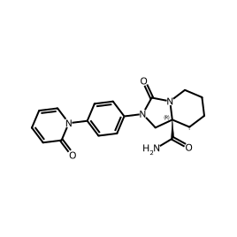 NC(=O)[C@]12[CH]CCCN1C(=O)N(c1ccc(-n3ccccc3=O)cc1)C2